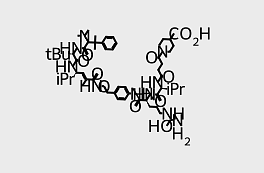 C/C(=C\[C@@H](NC(=O)[C@@H](NC(=O)[C@@H](N(C)C)C(C)(C)c1ccccc1)C(C)(C)C)C(C)C)C(=O)NOCc1ccc(NC(=O)[C@H](CCCNC(N)O)NC(=O)[C@@H](NC(=O)CCC(=O)N2CCC(C(=O)O)CC2)C(C)C)cc1